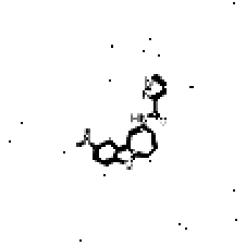 CN(C)C1=CC=c2oc3c(c2C1)C=C(NC(=O)c1cccnn1)C=CC=3